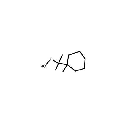 CC1(C(C)(C)OO)CCCCC1